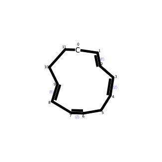 [CH]1/C=C/C=C\C/C=C\C=C\CC1